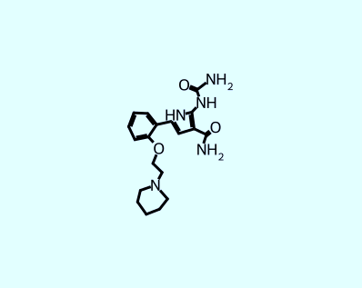 NC(=O)Nc1[nH]c(-c2ccccc2OCCN2CCCCC2)cc1C(N)=O